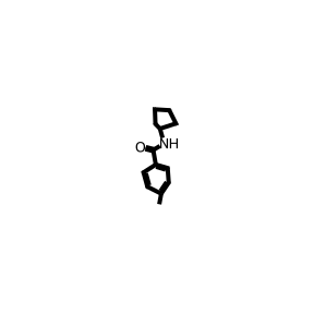 Cc1ccc(C(=O)NC2CCCC2)cc1